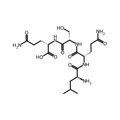 CC(C)C[C@H](N)C(=O)N[C@@H](CCC(N)=O)C(=O)N[C@@H](CO)C(=O)N[C@@H](CCC(N)=O)C(=O)O